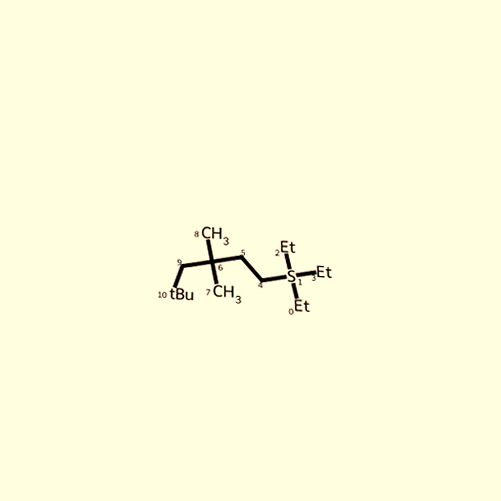 CCS(CC)(CC)CCC(C)(C)CC(C)(C)C